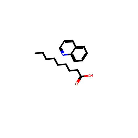 CCCCCCCCC(=O)O.c1ccc2ncccc2c1